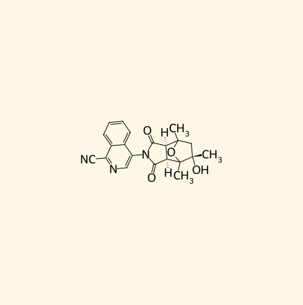 CC12C[C@](C)(O)C(C)(O1)[C@H]1C(=O)N(c3cnc(C#N)c4ccccc34)C(=O)[C@H]12